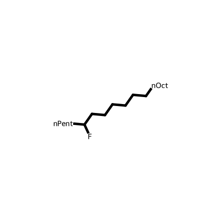 CCCCCCCCCCCCCCC(F)CCCCC